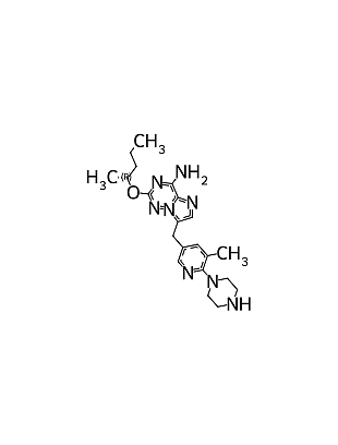 CCC[C@@H](C)Oc1nc(N)c2ncc(Cc3cnc(N4CCNCC4)c(C)c3)n2n1